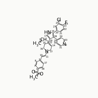 CC.CS(=O)(=O)c1ccc(C=CN2CC=C(c3c[nH]c(-c4ccc(F)c(Cl)c4)c3-c3ccncc3)CC2)cc1